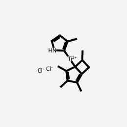 CC1=C(C)[C]2([Ti+2][c]3[nH]ccc3C)C(=C1C)CC2C.[Cl-].[Cl-]